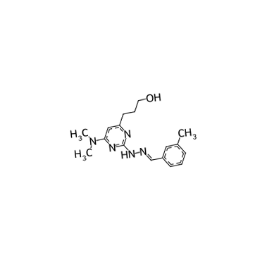 Cc1cccc(C=NNc2nc(CCCO)cc(N(C)C)n2)c1